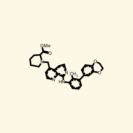 COC(=O)C1CCCCN1Cc1ccnc2c(Nc3cccc(-c4ccc5c(c4)OCCO5)c3C)nccc12